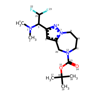 CN(C)C(c1cc2n(n1)CCCN(C(=O)OC(C)(C)C)C2)C(F)F